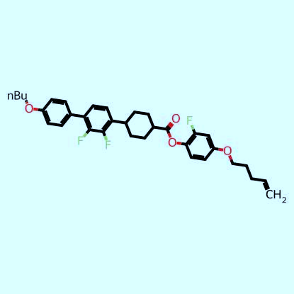 C=CCCCOc1ccc(OC(=O)C2CCC(c3ccc(-c4ccc(OCCCC)cc4)c(F)c3F)CC2)c(F)c1